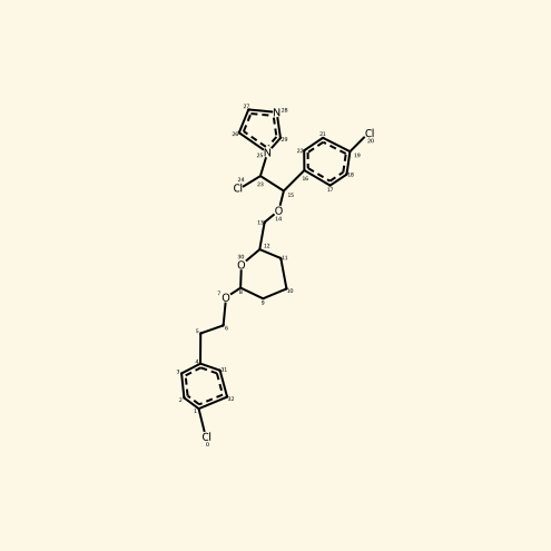 Clc1ccc(CCOC2CCCC(COC(c3ccc(Cl)cc3)C(Cl)n3ccnc3)O2)cc1